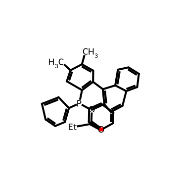 CCC(=O)Oc1ccc2ccccc2c1-c1cc(C)c(C)cc1P(c1ccccc1)c1ccccc1